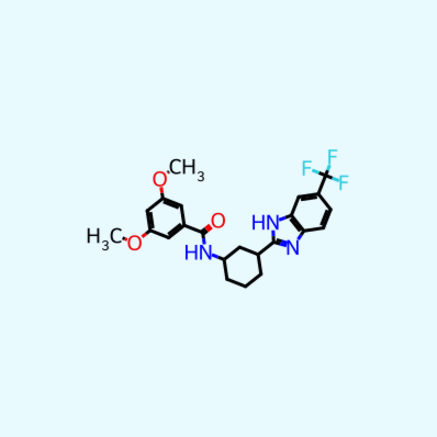 COc1cc(OC)cc(C(=O)NC2CCCC(c3nc4ccc(C(F)(F)F)cc4[nH]3)C2)c1